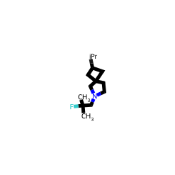 CC(C)C1CC2(CCN(CC(C)(C)F)C2)C1